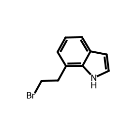 BrCCc1cccc2cc[nH]c12